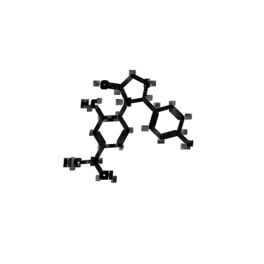 Cc1cc(N(C)C)ccc1N1C(=O)CSC1c1ccc(F)cc1